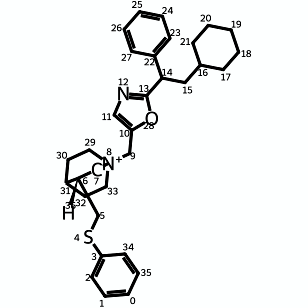 c1ccc(SC[C@H]2C[N+]3(Cc4cnc(C(CC5CCCCC5)c5ccccc5)o4)CCC2CC3)cc1